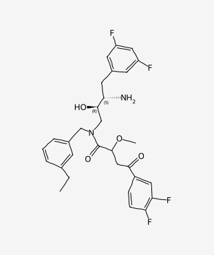 CCc1cccc(CN(C[C@@H](O)[C@@H](N)Cc2cc(F)cc(F)c2)C(=O)C(CC(=O)c2ccc(F)c(F)c2)OC)c1